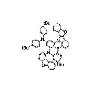 CC(C)(C)c1ccc(N(c2ccc(C(C)(C)C)cc2)c2cc3c4c(c2)-n2c5c(cccc5c5oc6ccccc6c52)B4c2ccc(C(C)(C)C)cc2N3c2cccc3oc4ccccc4c23)cc1